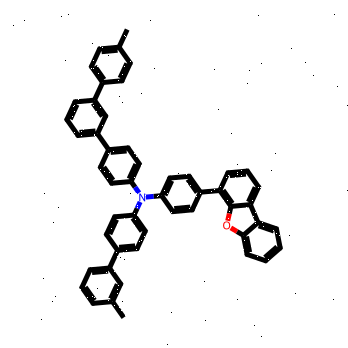 Cc1ccc(-c2cccc(-c3ccc(N(c4ccc(-c5cccc(C)c5)cc4)c4ccc(-c5cccc6c5oc5ccccc56)cc4)cc3)c2)cc1